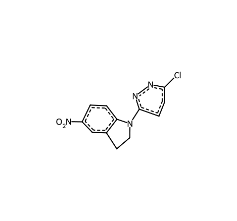 O=[N+]([O-])c1ccc2c(c1)CCN2c1ccc(Cl)nn1